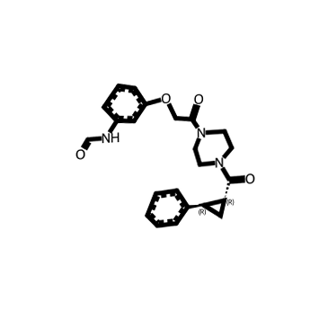 O=CNc1cccc(OCC(=O)N2CCN(C(=O)[C@@H]3C[C@H]3c3ccccc3)CC2)c1